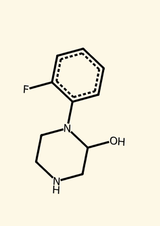 OC1CNCCN1c1ccccc1F